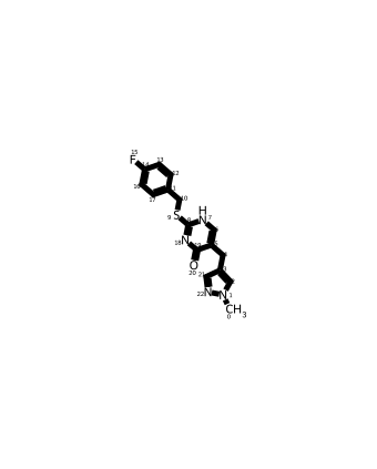 Cn1cc(Cc2c[nH]c(SCc3ccc(F)cc3)nc2=O)cn1